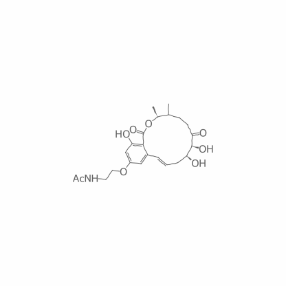 CC(=O)NCCOc1cc(O)c2c(c1)/C=C/C[C@H](O)[C@H](O)C(=O)CCC(C)[C@H](C)OC2=O